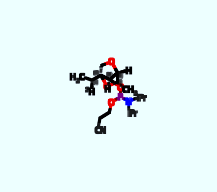 [2H][C@@H](C)[C@]12CO[C@H]([C@H](C)O1)[C@H]2OP(OCCC#N)N(C(C)C)C(C)C